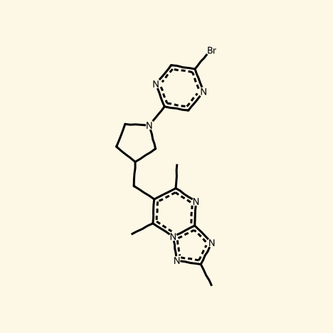 Cc1nc2nc(C)c(CC3CCN(c4cnc(Br)cn4)C3)c(C)n2n1